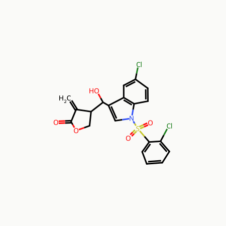 C=C1C(=O)OCC1C(O)c1cn(S(=O)(=O)c2ccccc2Cl)c2ccc(Cl)cc12